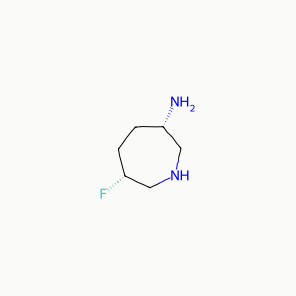 N[C@H]1CC[C@@H](F)CNC1